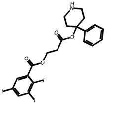 O=C(CCOC(=O)c1cc(I)cc(I)c1I)OC1(c2ccccc2)CCNCC1